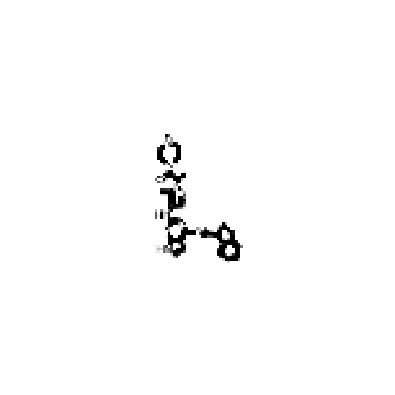 Cc1c(Nc2nc([N+]#CC3CCc4ccccc43)c3cc[nH]c3n2)cnn1C(C)C(=O)N1CCN(C)CC1